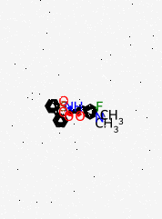 CN(C)c1cc2oc(C(=O)NS(=O)(=O)c3ccccc3-c3ccccc3)cc2cc1F